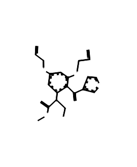 C=CCOc1cc(OCC=C)c(C(=O)c2ccsc2)c(C(CC)C(=O)OC)c1